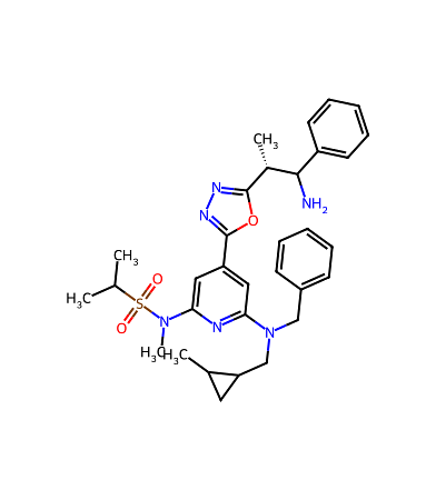 CC1CC1CN(Cc1ccccc1)c1cc(-c2nnc([C@H](C)C(N)c3ccccc3)o2)cc(N(C)S(=O)(=O)C(C)C)n1